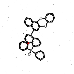 O=P(c1ccccc1)(c1ccccc1)c1cccc2c(-c3cc4c(c5ccccc35)Oc3ccccc3O4)cccc12